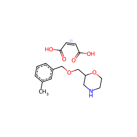 Cc1cccc(COCC2CNCCO2)c1.O=C(O)/C=C\C(=O)O